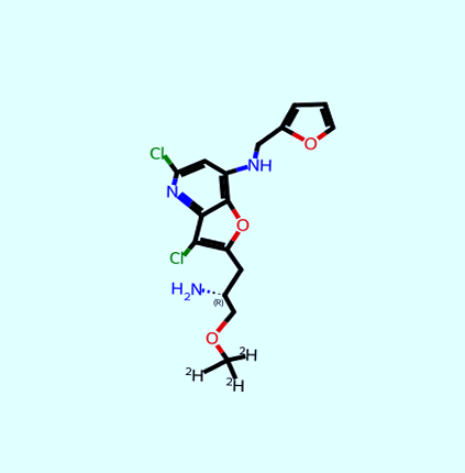 [2H]C([2H])([2H])OC[C@H](N)Cc1oc2c(NCc3ccco3)cc(Cl)nc2c1Cl